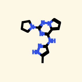 Cc1cc(Nc2nc(N3CCCC3)nn3cccc23)n[nH]1